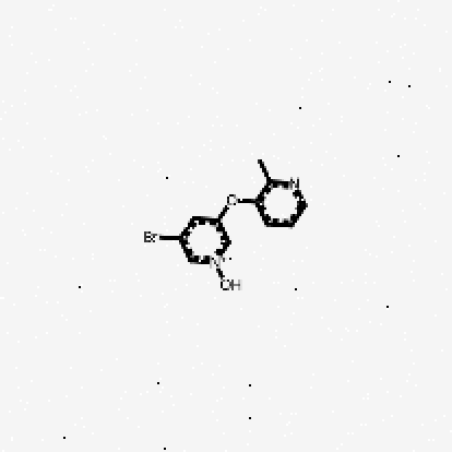 Cc1ncccc1Oc1cc(Br)c[n+](O)c1